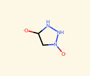 [O]C1CN([O])NN1